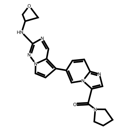 O=C(c1cnc2ccc(-c3ccn4nc(NC5COC5)ncc34)cn12)N1CCCC1